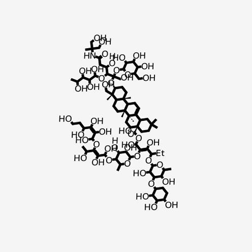 CCC(OC1OC(C)C(O)C(OC2CCC(O)C(O)C2O)C1O)/C(O)=C(\OC1OC(C)C(OC(O)/C(O)=C(\OC(O)/C(O)=C(/O)C(O)CCO)C(C)O)C(O)C1O)C(O)OC(=O)[C@]12CCC(C)(C)CC1C1=CCC3[C@@]4(C)CC[C@H](OC(CO)(OC5OC(CO)C(O)C(O)C5O)C(OC(O)C(O)C(O)C(C)O)C(O)CC(=O)NC(C)(CO)CO)[C@@](C)(CO)C4CC[C@@]3(C)[C@]1(C)C[C@H]2O